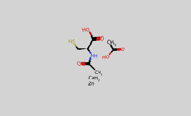 CC(=O)N[C@@H](CS)C(=O)O.CC(=O)O.[CaH2].[Zn]